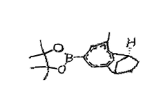 Cc1cc(B2OC(C)(C)C(C)(C)O2)cc2c1[C@H]1CCC2C1